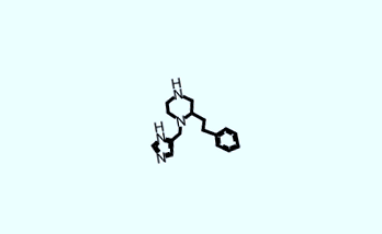 c1ccc(CCC2CNCCN2Cc2cnc[nH]2)cc1